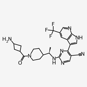 C[C@@H](Nc1ncc(C#N)c(-c2c[nH]c3ncc(C(F)(F)F)cc23)n1)C1CCN(C(=O)C2CC(N)C2)CC1